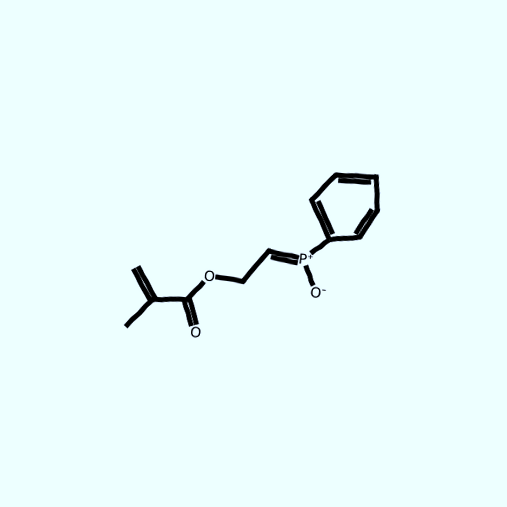 C=C(C)C(=O)OC/C=[P+](\[O-])c1ccccc1